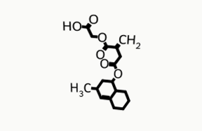 C=C(CC(=O)OC1CC(C)C=C2CCCCC21)C(=O)OCC(=O)O